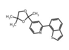 CC1(C)COC(C)(c2ccnc(-c3cccc4ccsc34)c2)O1